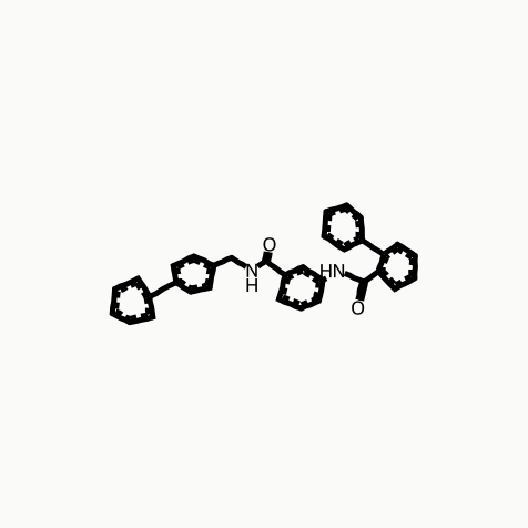 O=C(NCc1ccc(-c2ccccc2)cc1)c1cccc(NC(=O)c2ccccc2-c2ccccc2)c1